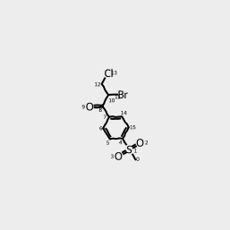 CS(=O)(=O)c1ccc(C(=O)C(Br)CCl)cc1